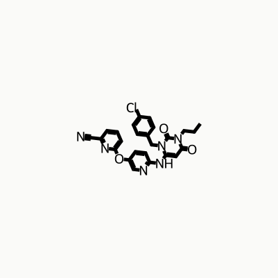 CCCn1c(=O)cc(Nc2ccc(Oc3cccc(C#N)n3)cn2)n(Cc2ccc(Cl)cc2)c1=O